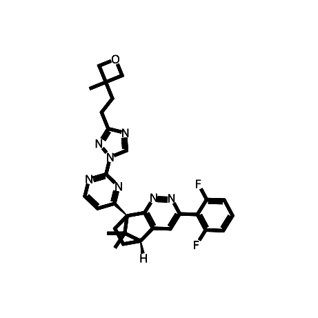 CC1(CCc2ncn(-c3nccc([C@@]45CC[C@@H](c6cc(-c7c(F)cccc7F)nnc64)C5(C)C)n3)n2)COC1